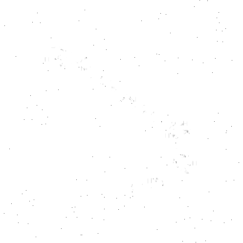 CC(=O)CCCNC(=O)CC[C@H](NC(=O)CC[C@H](NC(=O)COCCOCCNC(=O)COCCOCCNC(=O)CC[C@H](C)C(=O)O)C(=O)O)C(=O)O